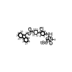 CN(CC(=O)Nc1ccc(C2CCN(C(=O)OCC3c4ccccc4-c4ccccc43)CC2)c(Cl)c1)C(=O)OC(C)(C)C